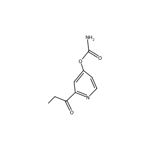 CCC(=O)c1cc(OC(N)=O)ccn1